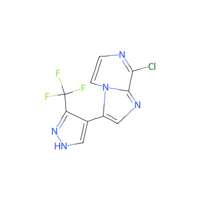 FC(F)(F)c1n[nH]cc1-c1cnc2c(Cl)nccn12